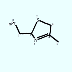 CCCCC1N=C(C)CS1